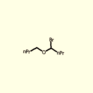 CCCCOC(Br)CCC